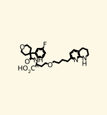 O=C(O)[C@H](CCOCCCCc1ccc2c(n1)NCCC2)NC(=O)C1(c2cccc(F)c2)CCOCC1